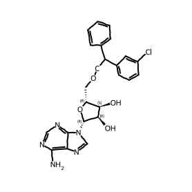 Nc1ncnc2c1ncn2[C@@H]1O[C@H](COCC(c2ccccc2)c2cccc(Cl)c2)[C@@H](O)[C@H]1O